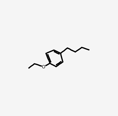 CCCCc1ccc(OCC)cc1